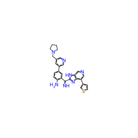 N=C(c1nc2c(-c3ccsc3)cncc2[nH]1)c1cc(-c2cncc(CN3CCCC3)c2)ccc1N